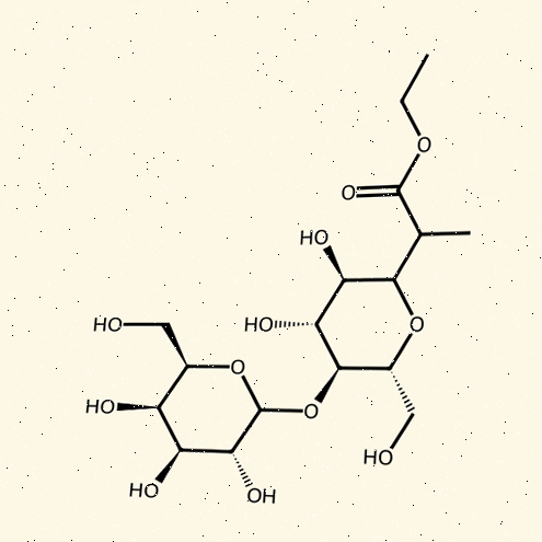 CCOC(=O)C(C)C1O[C@H](CO)[C@@H](OC2O[C@H](CO)[C@H](O)[C@H](O)[C@H]2O)[C@H](O)[C@H]1O